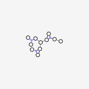 c1ccc(-c2ccc(-n3c4ccccc4c4cc(-c5cc(-c6cccc(N(c7ccccc7)c7ccccc7)c6)cc(-c6ccc7c8ccccc8n(-c8ccccc8)c7c6)c5)ccc43)cc2)cc1